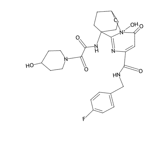 O=C(NC12CCC(CC1)C[N+]1(O)C(=O)C=C(C(=O)NCc3ccc(F)cc3)N=C21)C(=O)N1CCC(O)CC1